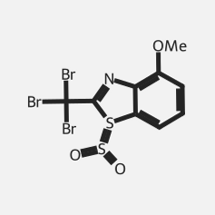 COc1cccc2c1N=C(C(Br)(Br)Br)S2=S(=O)=O